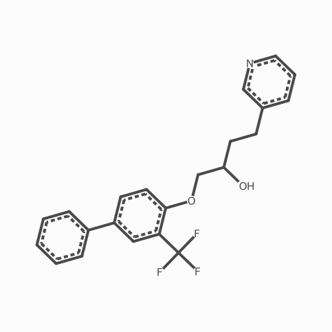 OC(CCc1cccnc1)COc1ccc(-c2ccccc2)cc1C(F)(F)F